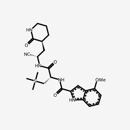 COc1cccc2[nH]c(C(=O)N[C@H](C[Si](C)(C)C)C(=O)N[C@H](C#N)C[C@@H]3CCCNC3=O)cc12